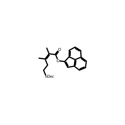 CCCCCCCCCCCCC(C)=C(C)C(=O)OC1=Cc2cccc3cccc1c23